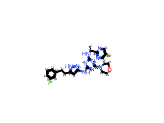 C[C@H](Nc1nc(Nc2cc(CCc3cccc(F)c3)[nH]n2)nc(N2CCOCC2)n1)c1ncc(F)cn1